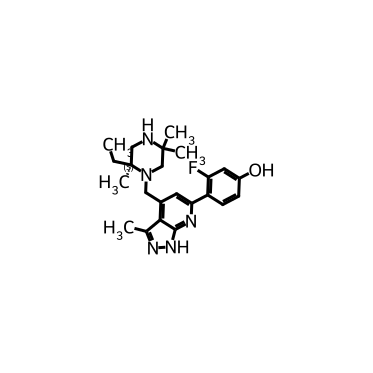 CC[C@@]1(C)CNC(C)(C)CN1Cc1cc(-c2ccc(O)cc2F)nc2[nH]nc(C)c12